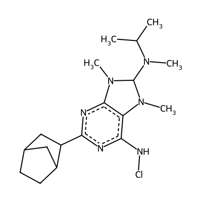 CC(C)N(C)C1N(C)c2nc(C3CC4CCC3C4)nc(NCl)c2N1C